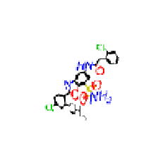 CC1CC(Cl)=CC=C1c1nc2cc(NC(=O)Cc3ccccc3Cl)cc(S(N)(=O)=O)c2o1